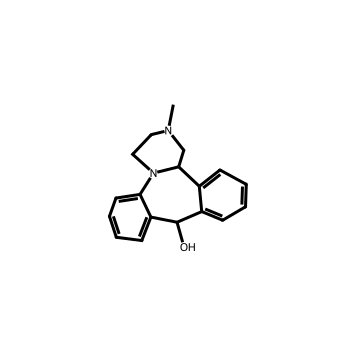 CN1CCN2c3ccccc3C(O)c3ccccc3C2C1